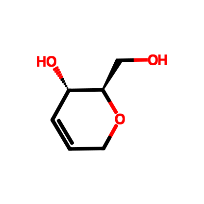 OC[C@H]1OCC=C[C@@H]1O